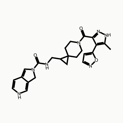 Cc1[nH]nc(C(=O)N2CCC3(CC2)CC3CNC(=O)N2C=C3C=CNC=C3C2)c1-c1ccno1